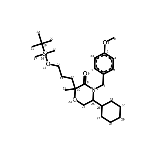 COc1ccc(CN2C(=O)C(C)(CCCO[Si](C)(C)C(C)(C)C)OCC2C2CCCCC2)cc1